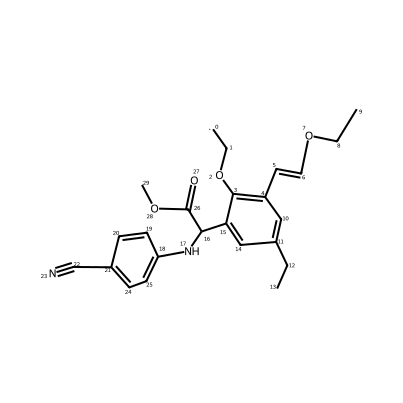 [CH2]COc1c(C=COCC)cc(CC)cc1C(Nc1ccc(C#N)cc1)C(=O)OC